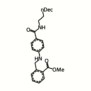 CCCCCCCCCCCCNC(=O)c1ccc(NCc2ccccc2C(=O)OC)cc1